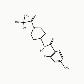 CCN(C(=O)c1ccc(C)cc1F)C1CCN(C(=O)C(C)(O)C(F)(F)F)CC1